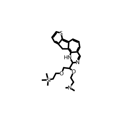 CN(C)CCOC(COCC[Si](C)(C)C)C1N=CC2=CC=CC3=C4SC=CC=C4CC3=C2N1